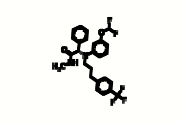 CNC(=O)[C@H](c1ccccc1)N(CCCc1ccc(C(F)(F)F)cc1)c1cccc(OC(F)F)c1